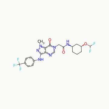 Cn1nc(Nc2ccc(C(F)(F)F)cc2)c2ncn(CC(=O)N[C@@H]3CCC[C@H](OC(F)F)C3)c(=O)c21